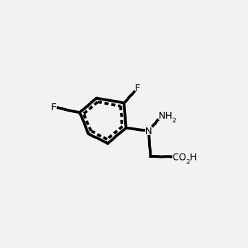 NN(CC(=O)O)c1ccc(F)cc1F